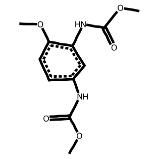 COC(=O)Nc1ccc(OC)c(NC(=O)OC)c1